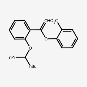 CCCCC(CCC)Oc1ccccc1C(=O)Oc1ccccc1C(=O)O